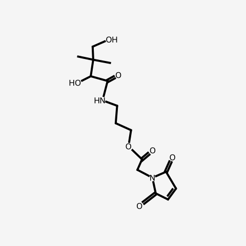 CC(C)(CO)C(O)C(=O)NCCCOC(=O)CN1C(=O)C=CC1=O